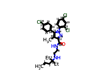 C=CCC(CC)(CC)NCCNC(=O)c1nn(-c2ccc(Cl)cc2Cl)c(-c2ccc(Cl)cc2)c1C